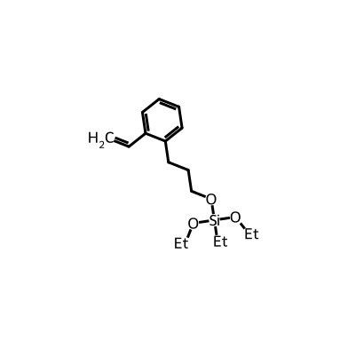 C=Cc1ccccc1CCCO[Si](CC)(OCC)OCC